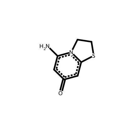 Nc1cc(=O)cc2n1CCS2